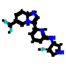 FC(F)c1ccc2ncc(-c3cccc(N[C@H]4CNC[C@@H]4F)n3)n2c1